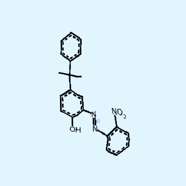 CC(C)(c1ccccc1)c1ccc(O)c(/N=N/c2ccccc2[N+](=O)[O-])c1